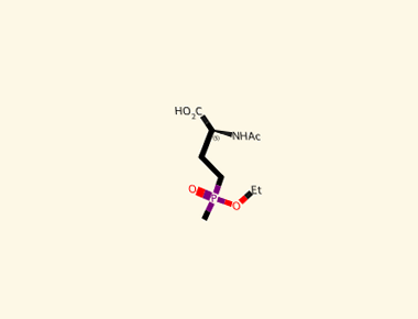 CCOP(C)(=O)CC[C@H](NC(C)=O)C(=O)O